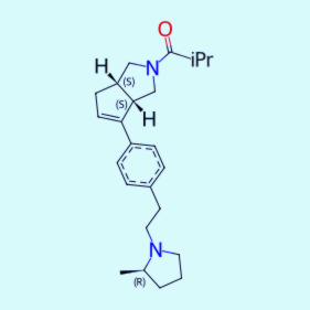 CC(C)C(=O)N1C[C@H]2CC=C(c3ccc(CCN4CCC[C@H]4C)cc3)[C@H]2C1